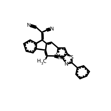 C/C(C#N)=C1/C(=C\c2cc3sc(-c4ccccc4)nc3s2)C(=C(C#N)C#N)c2ccccc21